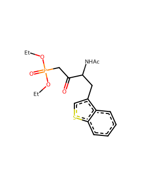 CCOP(=O)(CC(=O)C(Cc1csc2ccccc12)NC(C)=O)OCC